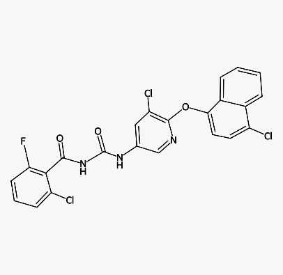 O=C(NC(=O)c1c(F)cccc1Cl)Nc1cnc(Oc2ccc(Cl)c3ccccc23)c(Cl)c1